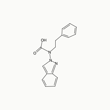 O=C(O)N(CCc1ccccc1)n1cc2ccccc2n1